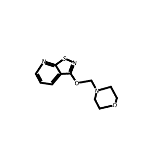 c1cnc2snc(OCN3CCOCC3)c2c1